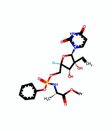 C=C[C@]1(O)[C@H](n2ccc(=O)[nH]c2=O)O[C@](F)(COP(=O)(N[C@@H](C)C(=O)OC(C)C)Oc2ccccc2)[C@H]1O